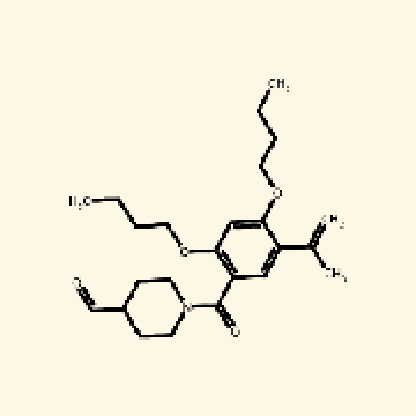 C=C(C)c1cc(C(=O)N2CCC(C=O)CC2)c(OCCCC)cc1OCCCC